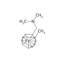 CN(C)C[C]12[CH]3[CH]4[CH]5[CH]1[Fe]45321678[CH]2[CH]1[CH]6[C]7(C)[CH]28